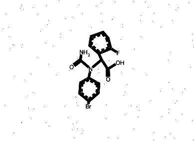 NC(=O)N(c1ccc(Br)cc1)C(C(=O)O)c1ccccc1F